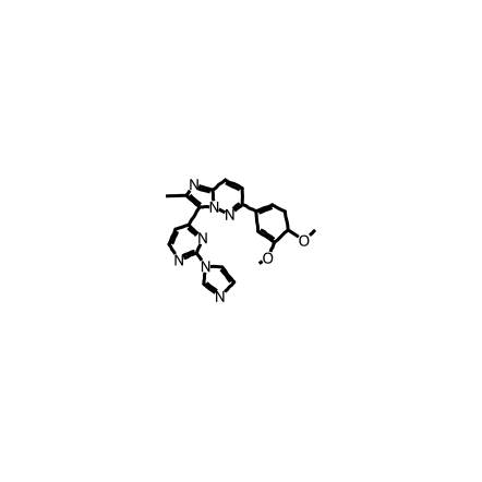 COC1=CC(c2ccc3nc(C)c(-c4ccnc(-n5ccnc5)n4)n3n2)=CCC1OC